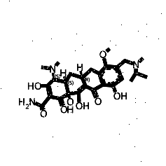 COc1c(CN(C)C(C)C)cc(O)c2c1C[C@H]1C[C@H]3[C@H](N(C)C)C(O)=C(C(N)=O)C(=O)[C@@]3(O)C(O)=C1C2=O